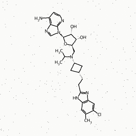 Cc1cc2[nH]c(CC[C@H]3C[C@@H](N(C[C@H]4O[C@@H](n5cnc6c(N)ccnc65)[C@H](O)[C@@H]4O)C(C)C)C3)nc2cc1Cl